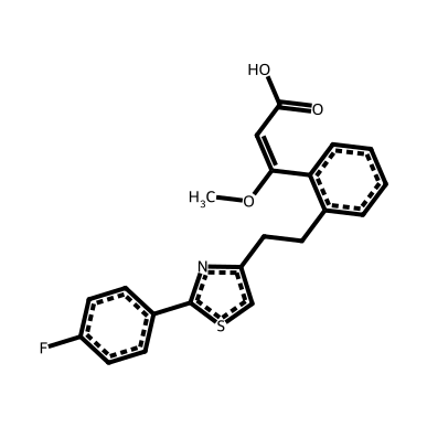 CO/C(=C/C(=O)O)c1ccccc1CCc1csc(-c2ccc(F)cc2)n1